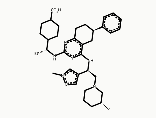 CC[C@@H](Nc1nc2c(c(N[C@@H](CN3CCC[C@@H](C)C3)c3cnn(C)c3)n1)C[C@H](c1ccccc1)CC2)C1CCC(C(=O)O)CC1